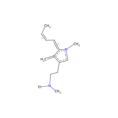 C=c1c(CCN(C)CC)cn(C)/c1=C/C=C\C